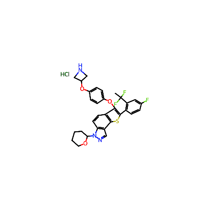 CC(F)(F)c1cc(F)ccc1-c1sc2c(ccc3c2cnn3C2CCCCO2)c1Oc1ccc(OC2CNC2)cc1.Cl